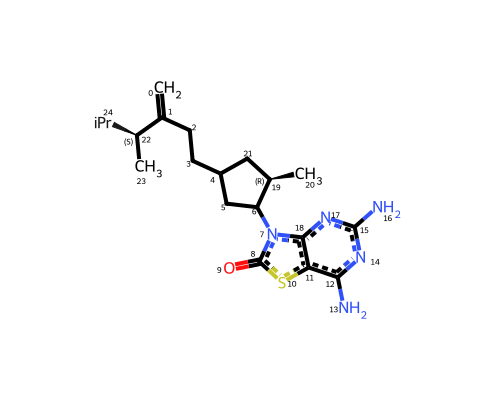 C=C(CCC1CC(n2c(=O)sc3c(N)nc(N)nc32)[C@H](C)C1)[C@@H](C)C(C)C